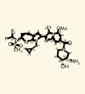 CCc1c(-c2cc3ccc(N(C(F)F)S(C)(=O)=O)nc3n2CC2CC2)nc2cc(C(=O)N3CC[C@@H](O)[C@@H](N)C3)cc(OC)n12